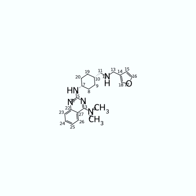 CN(C)c1nc(N[C@H]2CC[C@@H](CNCc3ccoc3)CC2)nc2ccccc12